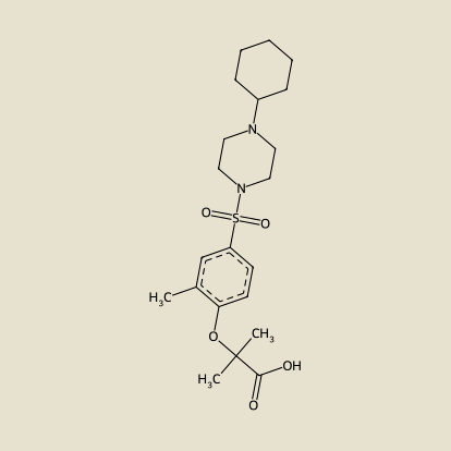 Cc1cc(S(=O)(=O)N2CCN(C3CCCCC3)CC2)ccc1OC(C)(C)C(=O)O